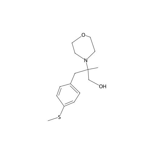 CSc1ccc(CC(C)(CO)N2CCOCC2)cc1